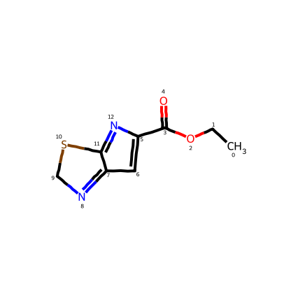 CCOC(=O)C1=CC2=NCSC2=N1